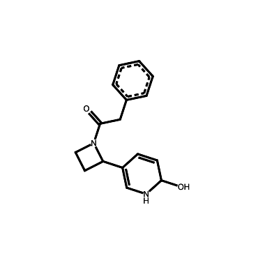 O=C(Cc1ccccc1)N1CCC1C1=CNC(O)C=C1